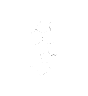 O=C(O)N1C(=O)CCC(N2Cc3c(O)cccc3C2=O)C1=O